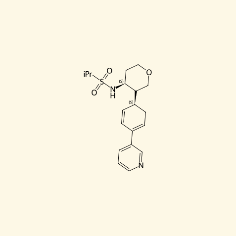 CC(C)S(=O)(=O)N[C@H]1CCOCC1[C@@H]1C=CC(c2cccnc2)=CC1